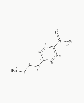 CC(C)(C)CCOc1ccc(C(=O)C(C)(C)C)nc1